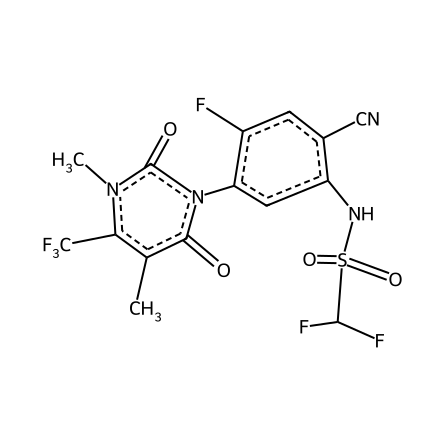 Cc1c(C(F)(F)F)n(C)c(=O)n(-c2cc(NS(=O)(=O)C(F)F)c(C#N)cc2F)c1=O